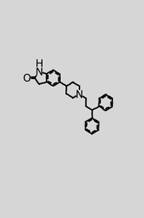 O=C1Cc2cc(C3CCN(CCC(c4ccccc4)c4ccccc4)CC3)ccc2N1